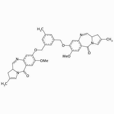 COc1cc2c(cc1OCc1cc(C)cc(COc3cc4c(cc3OC)C(=O)N3C=C(C)CC3C=N4)c1)N=CC1CC(C)=CN1C2=O